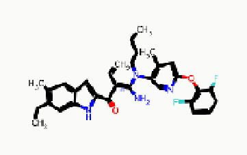 C=C/C(C(=O)c1cc2cc(C)c(CC)cc2[nH]1)=C(/N)N(CCCC)c1cnc(OC2=C(F)C=CCC2F)cc1C